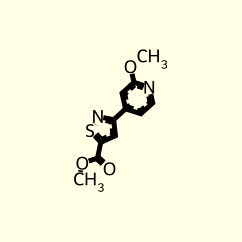 COC(=O)c1cc(-c2ccnc(OC)c2)ns1